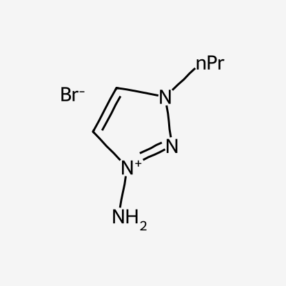 CCCn1cc[n+](N)n1.[Br-]